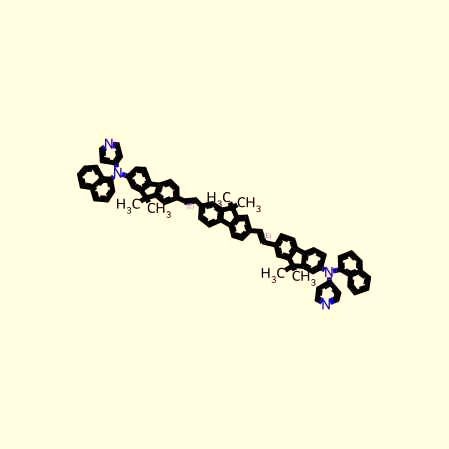 CC1(C)c2cc(/C=C/c3ccc4c(c3)C(C)(C)c3cc(N(c5ccncc5)c5cccc6ccccc56)ccc3-4)ccc2-c2ccc(/C=C/c3ccc4c(c3)C(C)(C)c3cc(N(c5ccncc5)c5cccc6ccccc56)ccc3-4)cc21